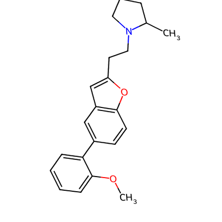 COc1ccccc1-c1ccc2oc(CCN3CCCC3C)cc2c1